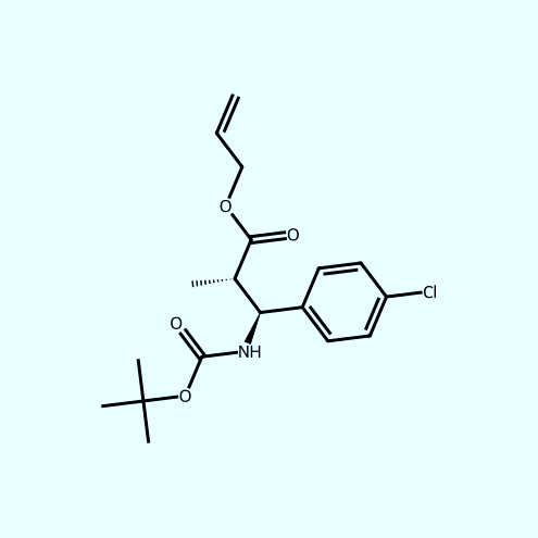 C=CCOC(=O)[C@@H](C)[C@H](NC(=O)OC(C)(C)C)c1ccc(Cl)cc1